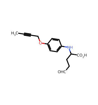 CC#CCOc1ccc(NC(CCC=O)C(=O)O)cc1